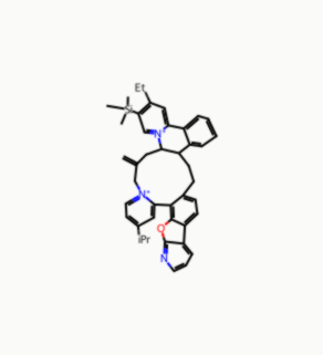 C=C1CC2C(CCc3ccc4c(oc5ncccc54)c3-c3cc(C(C)C)cc[n+]3C1)c1ccccc1-c1cc(CC)c([Si](C)(C)C)c[n+]12